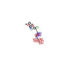 CN(CC(O)C(O)C(O)C(O)CO)C(=O)NS(=O)(=O)NCCCCc1cc(Cl)c(COC2(c3cnccc3-c3ccccc3OC3CC3)CC2)cc1Cl